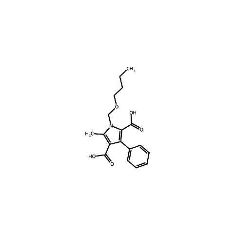 CCCCOCn1c(C)c(C(=O)O)c(-c2ccccc2)c1C(=O)O